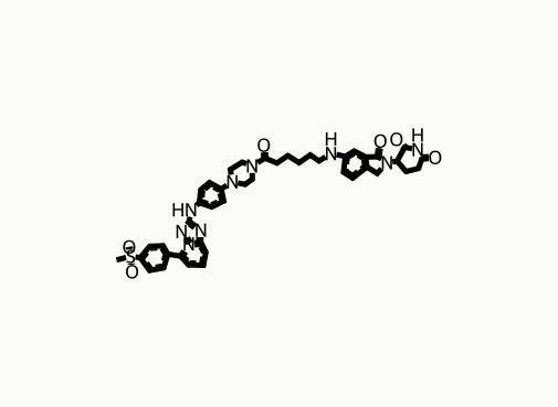 CS(=O)(=O)c1ccc(-c2cccc3nc(Nc4ccc(N5CCN(C(=O)CCCCCNc6ccc7c(c6)C(=O)N(C6CCC(=O)NC6=O)C7)CC5)cc4)nn23)cc1